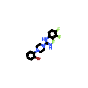 N=C(Nc1ccc(F)c(F)c1F)N1CCN(c2ccccc2Br)CC1